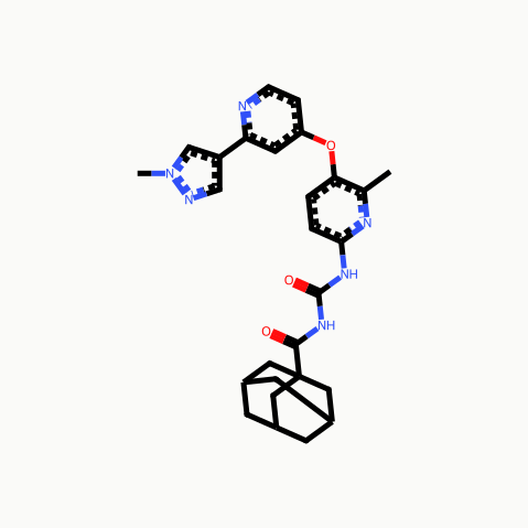 Cc1nc(NC(=O)NC(=O)C23CC4CC(CC(C4)C2)C3)ccc1Oc1ccnc(-c2cnn(C)c2)c1